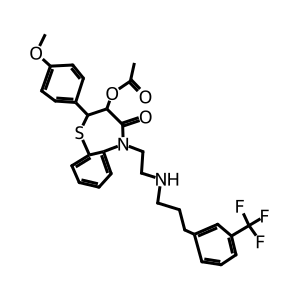 COc1ccc(C2Sc3ccccc3N(CCNCCCc3cccc(C(F)(F)F)c3)C(=O)C2OC(C)=O)cc1